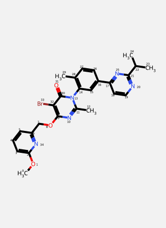 COc1cccc(COc2nc(C)n(-c3cc(-c4ccnc(C(C)C)n4)ccc3C)c(=O)c2Br)n1